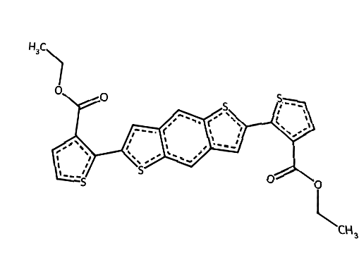 CCOC(=O)c1ccsc1-c1cc2cc3sc(-c4sccc4C(=O)OCC)cc3cc2s1